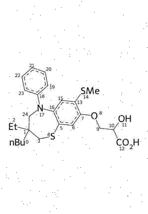 CCCCC1(CC)CSc2cc(OCC(O)C(=O)O)c(SC)cc2N(c2ccccc2)C1